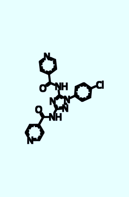 O=C(Nc1nc(NC(=O)c2ccncc2)n(-c2ccc(Cl)cc2)n1)c1ccncc1